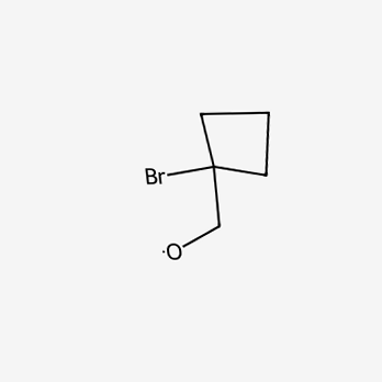 [O]CC1(Br)CCC1